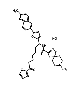 Cc1ccc2cc(-c3cnc(C(CCCCCC(=O)c4ncco4)NC(=O)C4=NOC5(CCN(C)CC5)C4)o3)ccc2n1.Cl